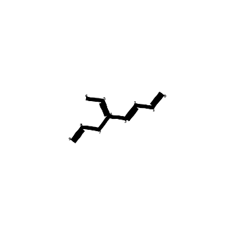 C=CC=CC(=CC)CC=C